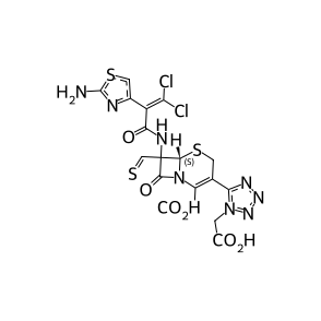 Nc1nc(C(C(=O)NC2(C=S)C(=O)N3C(C(=O)O)=C(c4nnnn4CC(=O)O)CS[C@H]32)=C(Cl)Cl)cs1